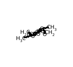 C=CC(=O)OC(CCCCCCC)Oc1ccc(OC(=O)c2ccc(OC(CCCCC)C(O)CC(=C)C=O)cc2)cc1